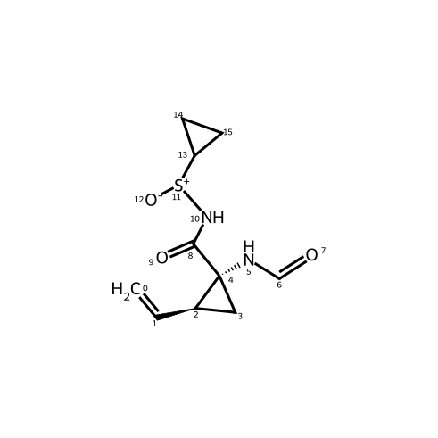 C=C[C@@H]1C[C@]1(NC=O)C(=O)N[S+]([O-])C1CC1